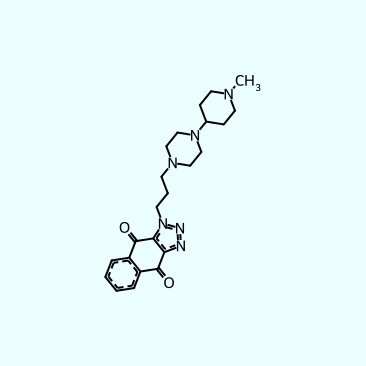 CN1CCC(N2CCN(CCCn3nnc4c3C(=O)c3ccccc3C4=O)CC2)CC1